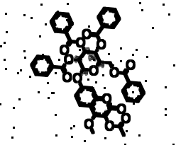 COc1c(OC(C)=O)c(=O)oc2cc(O[C@@H]3O[C@H](COC(=O)c4ccccc4)[C@H](OC(=O)c4ccccc4)[C@H](OC(=O)c4ccccc4)[C@H]3OC(=O)c3ccccc3)ccc12